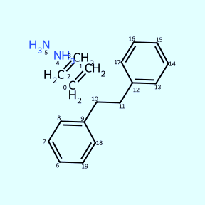 C=C.C=C.N.N.c1ccc(CCc2ccccc2)cc1